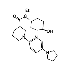 CCN(C(=O)[C@H]1CCCN(c2ccc(N3CCCC3)cn2)C1)[C@H]1CC[C@H](O)CC1